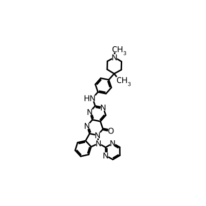 CN1CCC(C)(c2ccc(Nc3ncc4c(=O)n5c(nc4n3)c3ccccc3n5-c3ncccn3)cc2)CC1